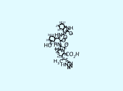 CC(Sc1nnn[nH]1)C1=C(C(=O)O)N2C(=O)C(NC(=O)C(NC(=O)n3c(=O)[nH]c4ccccc43)c3cccc(O)c3)[C@@H]2SC1